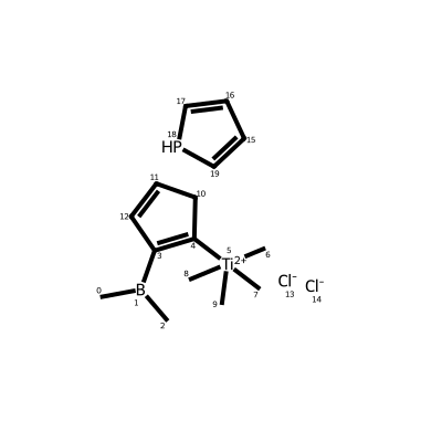 CB(C)C1=[C]([Ti+2]([CH3])([CH3])([CH3])[CH3])CC=C1.[Cl-].[Cl-].c1cc[pH]c1